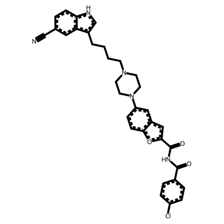 N#Cc1ccc2[nH]cc(CCCCN3CCN(c4ccc5oc(C(=O)NC(=O)c6ccc(Cl)cc6)cc5c4)CC3)c2c1